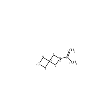 C=C(C)N1CC2(COC2)C1